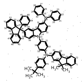 CC(C)(C)c1ccc(N(c2ccc(-n3c4ccc(N(c5ccccc5)c5ccccc5)cc4c4cc(C5(c6ccccc6)c6ccccc6-c6ccccc65)ccc43)cc2)c2ccc3c(c2)C(C)(C)c2ccccc2-3)cc1